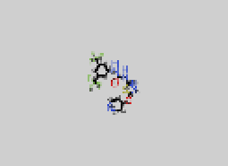 O=C(Nc1cc(C(F)(F)F)cc(C(F)(F)F)c1)Nc1nnc(Oc2ccncc2)s1